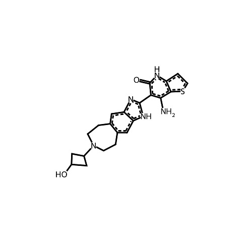 Nc1c(-c2nc3cc4c(cc3[nH]2)CCN(C2CC(O)C2)CC4)c(=O)[nH]c2ccsc12